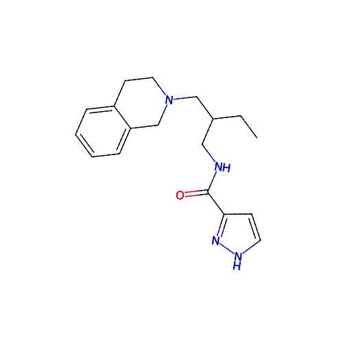 CCC(CNC(=O)c1cc[nH]n1)CN1CCc2ccccc2C1